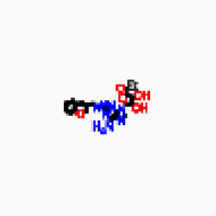 CCC(=O)[C@H]1O[C@@H](n2cnc3c(N)nc(N/N=C/C4=Cc5ccccc5OC4)nc32)[C@H](O)[C@@H]1O